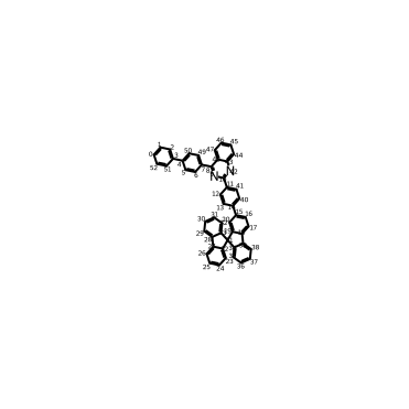 c1ccc(-c2ccc(-c3nc(-c4ccc(-c5ccc6c(c5)C5(c7ccccc7-c7ccccc75)c5ccccc5-6)cc4)nc4ccccc34)cc2)cc1